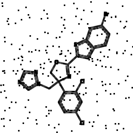 Clc1ccc(C2(Cn3cncn3)COC(c3cc4ccc(Br)cc4s3)=N2)c(Cl)c1